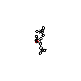 C1=CC(c2ccc3c(c2)c2ccccc2n3-c2ccc(-c3cccc(-c4nc(-c5ccccc5)nc(-c5ccccc5)n4)c3)cc2-n2c3ccccc3c3ccccc32)Cc2c1n(-c1ccccc1)c1ccccc21